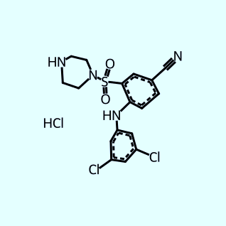 Cl.N#Cc1ccc(Nc2cc(Cl)cc(Cl)c2)c(S(=O)(=O)N2CCNCC2)c1